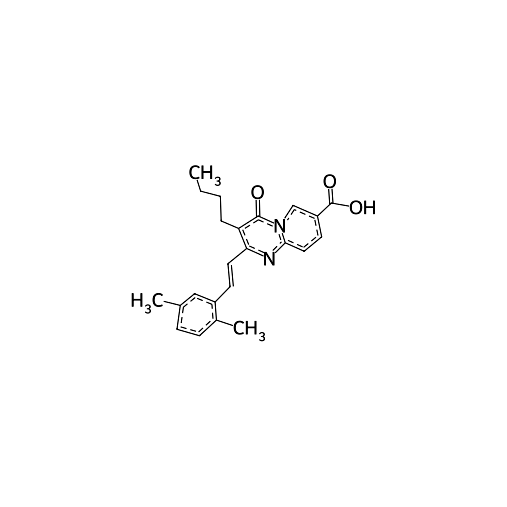 CCCCc1c(/C=C/c2cc(C)ccc2C)nc2ccc(C(=O)O)cn2c1=O